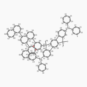 CC1(C)c2cc(N(c3ccccc3)c3ccccc3)ccc2-c2cc3c(cc21)-c1ccc(N(c2ccccc2)c2ccccc2)cc1C3(C)c1cccc(-c2cccc3c(-c4cccc5ccccc45)ccc(-c4cccc5ccccc45)c23)c1